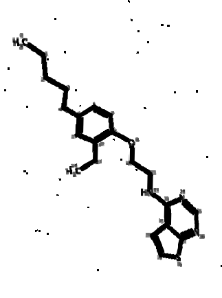 CCCCCc1ccc(OCCNc2ncnc3sccc23)c(CC)c1